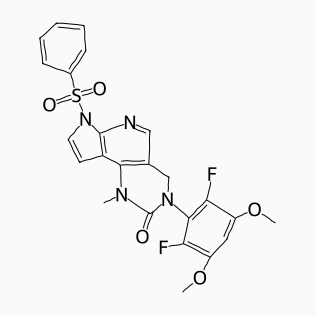 COc1cc(OC)c(F)c(N2Cc3cnc4c(ccn4S(=O)(=O)c4ccccc4)c3N(C)C2=O)c1F